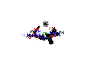 C=CCOC(=O)N[C@H](C(=O)N[C@@H](CCCNC(N)=O)C(=O)Nc1ccc(C[N+](C)(C)CCC[C@@H]2Cc3ccccc3CN2C(=O)c2ccc(Cl)cc2-c2cc(C(=O)N(c3ccc(O)cc3)c3cc(C#N)n(C)c3C)c(C)n2C)c(CNC)c1)C(C)C.O=C([O-])C(F)(F)F